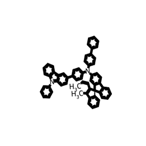 C/C=C\C1=C(C)c2ccccc2[C@@]12c1ccccc1-c1ccc(N(c3ccc(-c4ccccc4)cc3)c3ccc(-c4ccc5c(c4)c4ccccc4n5-c4ccccc4)cc3)cc12